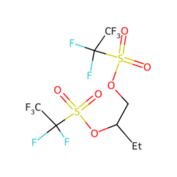 CCC(COS(=O)(=O)C(F)(F)C(F)(F)F)OS(=O)(=O)C(F)(F)C(F)(F)F